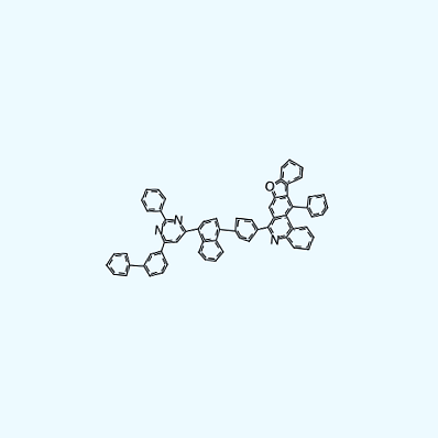 c1ccc(-c2cccc(-c3cc(-c4ccc(-c5ccc(-c6nc7ccccc7c7c(-c8ccccc8)c8c(cc67)oc6ccccc68)cc5)c5ccccc45)nc(-c4ccccc4)n3)c2)cc1